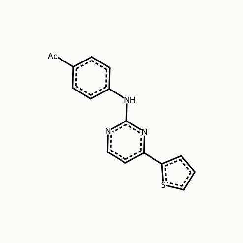 CC(=O)c1ccc(Nc2nccc(-c3cccs3)n2)cc1